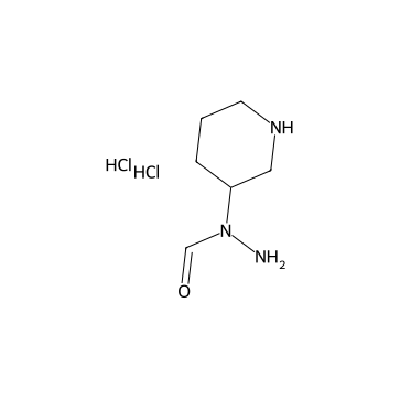 Cl.Cl.NN(C=O)C1CCCNC1